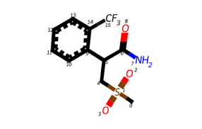 CS(=O)(=O)CC(C(N)=O)c1ccccc1C(F)(F)F